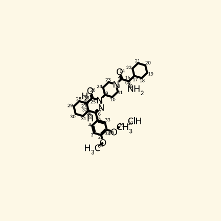 COc1ccc(C2=NN(C3CCN(C(=O)[C@@H](N)C4CCCCC4)CC3)C(=O)[C@@H]3CCCC[C@H]23)cc1OC.Cl